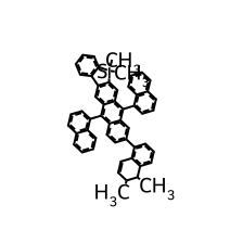 CC1C=Cc2c(-c3ccc4c(-c5cccc6ccccc56)c5cc6c(cc5c(-c5cccc7ccccc57)c4c3)[Si](C)(C)c3ccccc3-6)cccc2C1C